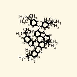 CC(C)(C)c1ccc(N(c2ccc(C(C)(C)C)cc2)c2ccc(N3c4cc(C(C)(C)C)cc5c4B(c4cc(C(C)(C)C)ccc4O5)c4sc5ccc(C(C)(C)C)cc5c43)c3c2sc2ccccc23)cc1